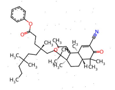 CCCC(C)(C)CC[C@](C)(CCC(=O)Oc1ccccc1)CCC(C)(C)[C@]1(C)CC[C@H]2C(C)(C)C(=O)C(C#N)=C[C@]2(C)/C1=C/C(C)=O